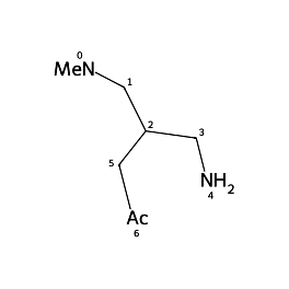 CNCC(CN)CC(C)=O